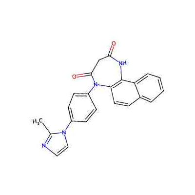 Cc1nccn1-c1ccc(N2C(=O)CC(=O)Nc3c2ccc2ccccc32)cc1